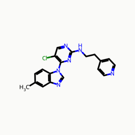 Cc1ccc2c(c1)ncn2-c1nc(NCCc2ccncc2)ncc1Cl